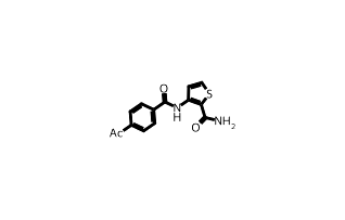 CC(=O)c1ccc(C(=O)Nc2ccsc2C(N)=O)cc1